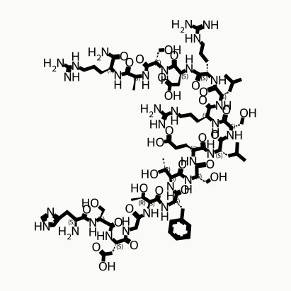 CC(C)C[C@H](NC(=O)[C@H](CCCNC(=N)N)NC(=O)[C@H](CO)NC(=O)[C@H](CC(C)C)NC(=O)[C@H](CCC(=O)O)NC(=O)[C@H](CO)NC(=O)[C@@H](NC(=O)[C@H](Cc1ccccc1)NC(=O)[C@@H](NC(=O)CNC(=O)[C@H](CC(=O)O)NC(=O)[C@H](CO)NC(=O)[C@@H](N)Cc1c[nH]cn1)[C@@H](C)O)[C@@H](C)O)C(=O)N[C@@H](CCCNC(=N)N)C(=O)N[C@@H](CC(=O)O)C(=O)N[C@@H](CO)C(=O)N[C@@H](C)C(=O)N[C@@H](CCCNC(=N)N)C(N)=O